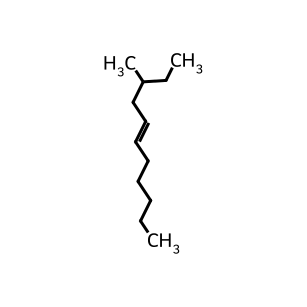 CCCCC/C=C/CC(C)CC